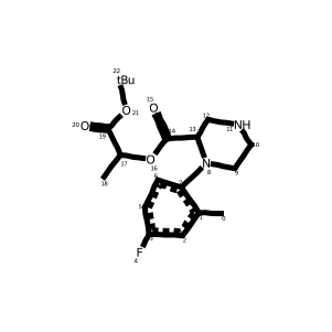 Cc1cc(F)ccc1N1CCNCC1C(=O)OC(C)C(=O)OC(C)(C)C